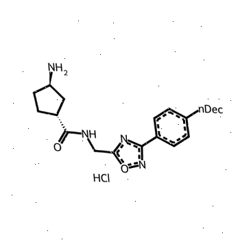 CCCCCCCCCCc1ccc(-c2noc(CNC(=O)[C@@H]3CC[C@@H](N)C3)n2)cc1.Cl